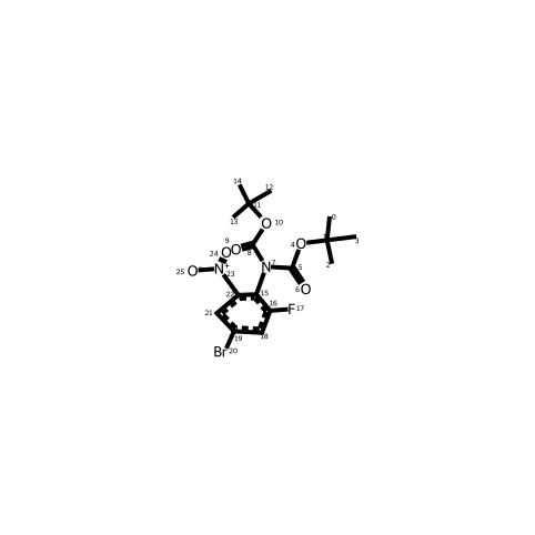 CC(C)(C)OC(=O)N(C(=O)OC(C)(C)C)c1c(F)cc(Br)cc1[N+](=O)[O-]